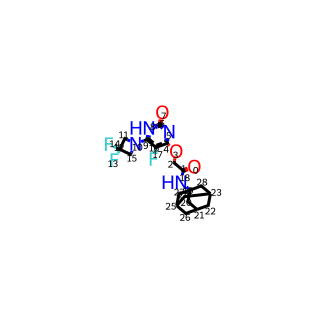 O=C(COc1nc(=O)[nH]c(N2CC(F)(F)C2)c1F)NC12CC3CC(CC(C3)C1)C2